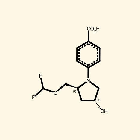 O=C(O)c1ccc(N2C[C@H](O)C[C@H]2COC(F)F)cc1